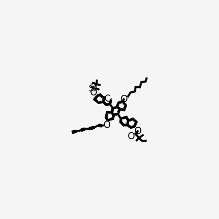 C#CC#CC#CC#COc1ccc2c(-c3ccc4cc(O[Si](C)(C)C(C)(C)C)ccc4c3)c3cc(OCCCCCCCC)ccc3c(-c3ccc4cc(OC(=O)C(C)(C)CC)ccc4c3)c2c1